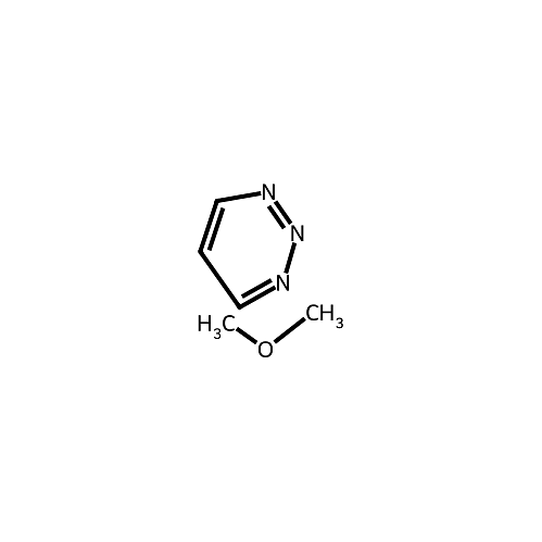 COC.c1cnnnc1